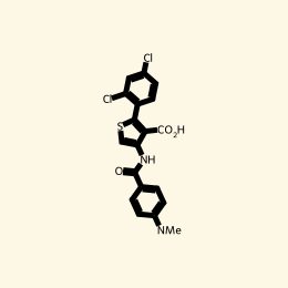 CNc1ccc(C(=O)Nc2csc(-c3ccc(Cl)cc3Cl)c2C(=O)O)cc1